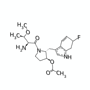 CO[C@H](C)[C@H](N)C(=O)N1CC[C@H](OC(C)=O)[C@H]1Cc1c[nH]c2c1C=CC(F)C2